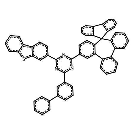 c1ccc(-c2cccc(-c3nc(-c4ccc5c(c4)-c4ccccc4-c4ccccc4C54c5ccccc5-c5ccccc54)nc(-c4ccc5c(c4)sc4ccccc45)n3)c2)cc1